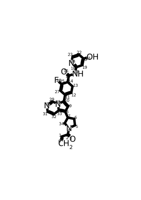 C=CC(=O)N1CCC(c2cc(C3=CCC(C(=O)Nc4cc(O)ccn4)C(F)=C3)n3cnccc23)C1